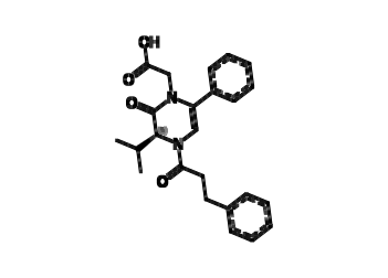 CC(C)[C@H]1C(=O)N(CC(=O)O)C(c2ccccc2)=CN1C(=O)CCc1ccccc1